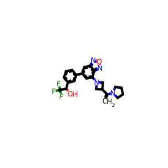 C=C(C1CN(c2cc(-c3cccc(C(O)C(F)(F)F)c3)cc3nonc23)C1)N1CCCC1